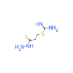 N=C(N)SCCC(=S)NN